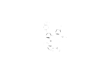 BC(B)(B)Oc1cc(OC(F)(F)F)ccc1Oc1cc(C2CCC(OC)CC2)cc(F)c1C(=O)Nc1ccnc(C(N)=O)c1